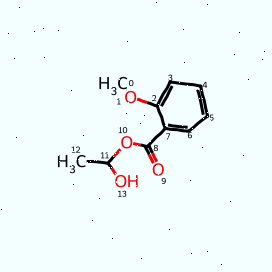 COc1ccccc1C(=O)OC(C)O